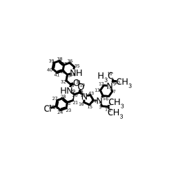 CC(C)CN(C1CCN(C(C)C)CC1)[C@H]1CCN(C(=O)[C@@H](Cc2ccc(Cl)cc2)NC(=O)CC2NCCc3ccccc32)C1